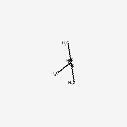 CCCCCCCCC=CCCCCCCCC(=O)NCC(COC(=O)CCCCCCCC=CCCCCCCCC)OC(=O)CCCCCCCCCCCCCCC